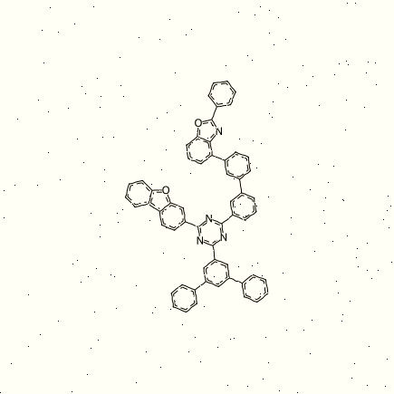 c1ccc(-c2cc(-c3ccccc3)cc(-c3nc(-c4cccc(-c5cccc(-c6cccc7oc(-c8ccccc8)nc67)c5)c4)nc(-c4ccc5c(c4)oc4ccccc45)n3)c2)cc1